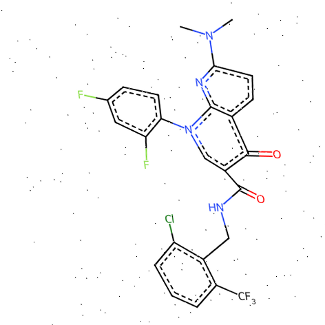 CN(C)c1ccc2c(=O)c(C(=O)NCc3c(Cl)cccc3C(F)(F)F)cn(-c3ccc(F)cc3F)c2n1